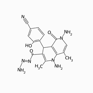 CC1=C(C(=O)N=NN)C(c2ccc(C#N)cc2O)c2c(c(C)cn(N)c2=O)N1N